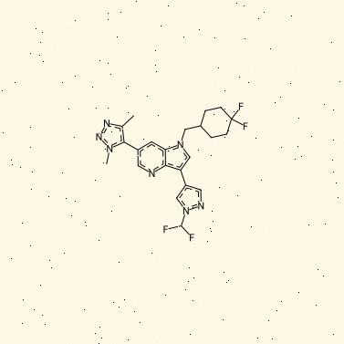 Cc1nnn(C)c1-c1cnc2c(-c3cnn(C(F)F)c3)cn(CC3CCC(F)(F)CC3)c2c1